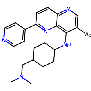 CC(=O)c1cnc2ccc(-c3ccncc3)nc2c1NC1CCC(CN(C)C)CC1